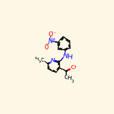 CC(=O)c1ccc(C)nc1Nc1cccc([N+](=O)[O-])c1